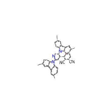 Cc1ccc2c(c1)c1cc(C)ccc1n2-c1cc(-c2cccc(C#N)c2C#N)c(-n2c3ccc(C)cc3c3cc(C)ccc32)cn1